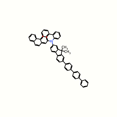 CC1(C)c2cc(-c3ccc(-c4ccc(-c5ccccc5)cc4)cc3)ccc2-c2ccc(N(c3ccc4c(ccc5ccccc54)c3)c3ccccc3-c3ccccc3)cc21